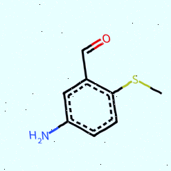 CSc1ccc(N)cc1C=O